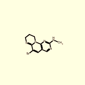 CNc1ncc2c(n1)N1CCCN=C1C(Br)=C2